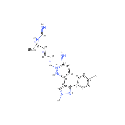 Cc1ccc(-c2nn(C)cc2-c2ccc(=N)n(/C=C/C=C/C(=N\C=N)C(C)(C)C)n2)cc1